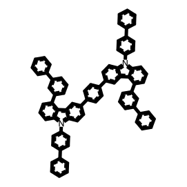 c1ccc(-c2ccc(-n3c4ccc(-c5ccc(-c6ccc7c(c6)c6c(-c8cccc(-c9ccccc9)c8)cccc6n7-c6ccc(-c7ccccc7)cc6)cc5)cc4c4c(-c5cccc(-c6ccccc6)c5)cccc43)cc2)cc1